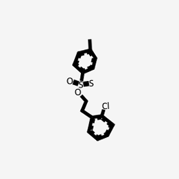 Cc1ccc(S(=O)(=S)OCCc2ccccc2Cl)cc1